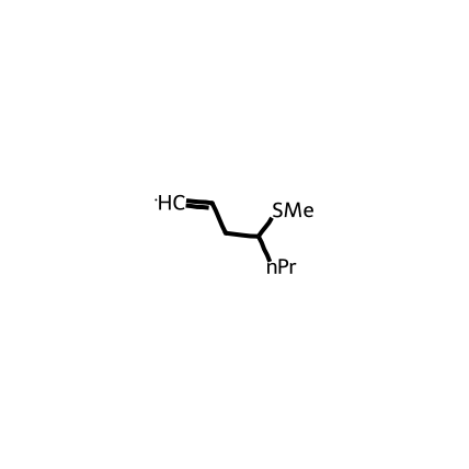 [CH]=CCC(CCC)SC